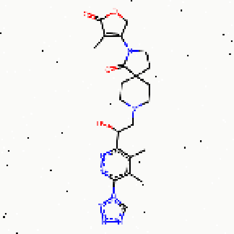 CC1=C(N2CCC3(CCN(C[C@H](O)c4nnc(-n5cnnn5)c(C)c4C)CC3)C2=O)COC1=O